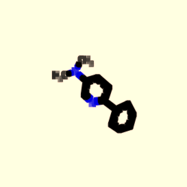 CN(C)c1ccc(-c2ccccc2)nc1